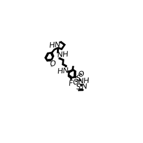 COc1cccc(CC2(CNCCCCNc3cc(F)c(S(=O)(=O)Nc4nccs4)cc3C)CCCN2)c1